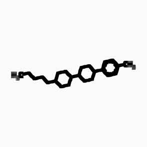 CCCCCC1CCC(C2CCC(c3ccc(C)cc3)CC2)CC1